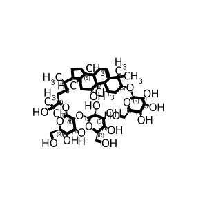 C[C@H](CC[C@@H](O[C@@H]1O[C@H](CO)[C@@H](O)[C@H](O)[C@H]1O[C@@H]1O[C@H](CO)[C@@H](O)[C@H](O)[C@H]1O)C(C)(C)O)C1CC[C@@]2(C)C3CC=C4C(CC[C@H](O[C@@H]5O[C@H](CO)[C@@H](O)[C@H](O)[C@H]5O)C4(C)C)[C@]3(C)[C@H](O)C[C@]12C